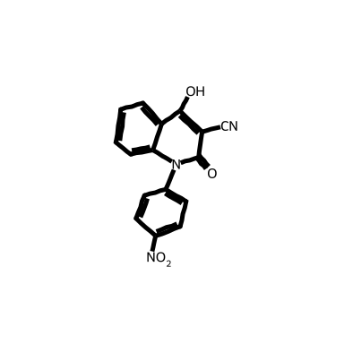 N#Cc1c(O)c2ccccc2n(-c2ccc([N+](=O)[O-])cc2)c1=O